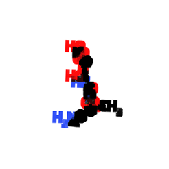 CCOc1ccc(-c2ccc(C3(N)CC3)cc2)cc1S(=O)(=O)N1CCC2(CC1)C[C@H](NC[C@H](O)COc1cccc(S(=O)(=O)C3(CO)CC3)c1)CO2